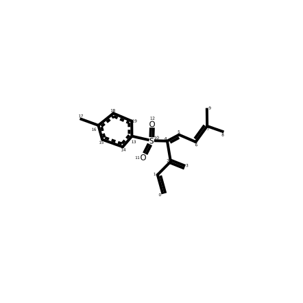 C=CC(=C)C(=CC=C(C)C)S(=O)(=O)c1ccc(C)cc1